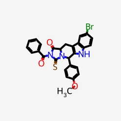 COc1ccc(C2c3[nH]c4ccc(Br)cc4c3CC3C(=O)N(C(=O)c4ccccc4)C(=S)N32)cc1